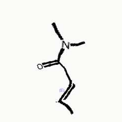 C/[C]=C/C(=O)N(C)C